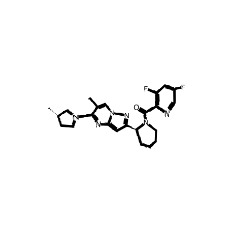 Cc1cn2nc([C@@H]3CCCCN3C(=O)c3ncc(F)cc3F)cc2nc1N1CC[C@H](C)C1